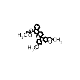 CCC(=O)Oc1cc2c(c3ccccc13)C=CC(c1ccc(OC)cc1)(c1ccc3c(c1)CC(C)O3)O2